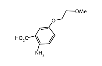 COCCOc1ccc(N)c(C(=O)O)c1